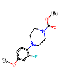 CCOc1ccc(N2CCN(C(=O)OC(C)(C)C)CC2)c(F)c1